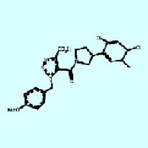 CCOC(=O)c1nnn(Cc2ccc(OC)cc2)c1C(=O)N1CCC(C2=CC(C)C(Cl)C=C2Cl)C1